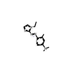 CC[n+]1ccsc1/N=N/c1ccc(N(C)C)cc1C